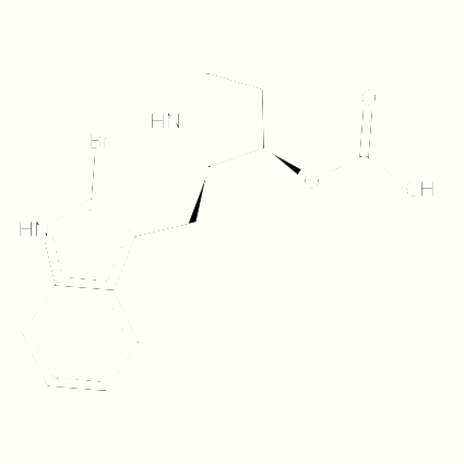 CC(=O)O[C@@H]1CCN[C@@H]1Cc1c(Br)[nH]c2ccccc12